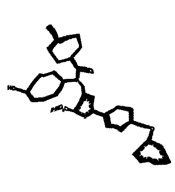 CC1CCC(C(=O)N(c2cc(C3=CCC(Oc4ccccc4)CC3)sc2C(=O)O)C2CCC(O)CC2)CC1